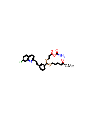 COC(=O)CCCCSC(SCCC(=O)OC(N)=O)c1cccc(C=Cc2ccc3ccc(Cl)cc3n2)c1